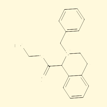 CCOC(=O)C1c2ccccc2CCN1Cc1ccccc1